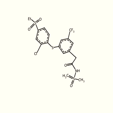 C=S(C)(=O)NC(=O)Cc1cc(Sc2ccc(S(=O)(=O)CC)cc2Cl)cc(C(F)(F)F)c1